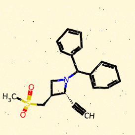 C#C[C@@H]1[C@@H](CS(C)(=O)=O)CN1C(c1ccccc1)c1ccccc1